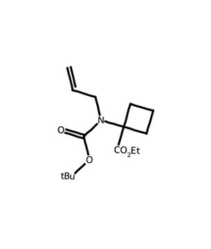 C=CCN(C(=O)OC(C)(C)C)C1(C(=O)OCC)CCC1